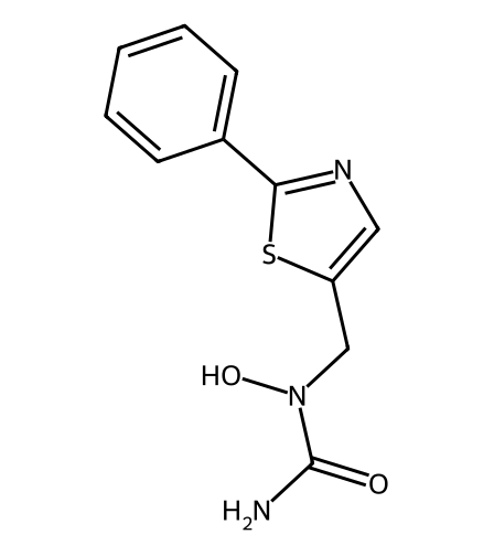 NC(=O)N(O)Cc1cnc(-c2ccccc2)s1